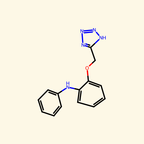 c1ccc(Nc2ccccc2OCc2nnn[nH]2)cc1